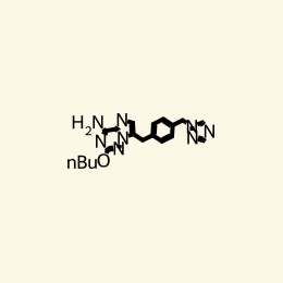 CCCCOc1nc(N)c2ncc(Cc3ccc(Cn4cncn4)cc3)n2n1